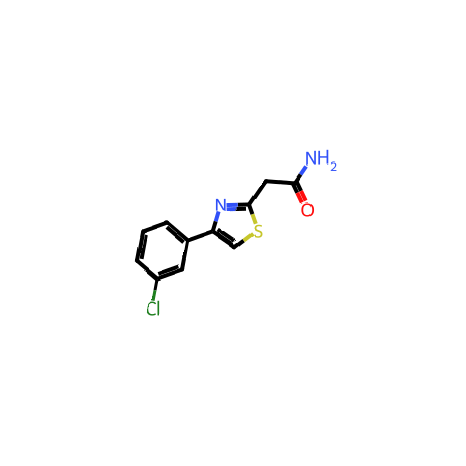 NC(=O)Cc1nc(-c2cccc(Cl)c2)cs1